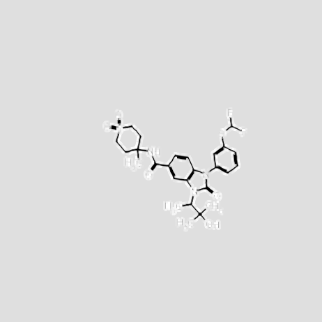 CC(n1c(=O)n(-c2cccc(OC(F)F)c2)c2ccc(C(=O)NC3(C)CCS(=O)(=O)CC3)cc21)C(C)(C)O